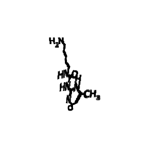 Cc1cc(=O)nc(NC(=O)NCCCCCN)[nH]1